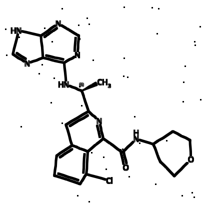 C[C@H](Nc1ncnc2[nH]cnc12)c1cc2cccc(Cl)c2c(C(=O)NC2CCOCC2)n1